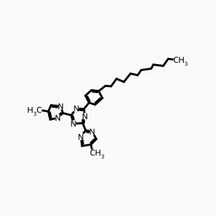 CCCCCCCCCCCCc1ccc(-c2nc(-c3ncc(C)cn3)nc(-c3ncc(C)cn3)n2)cc1